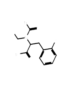 CCN(C(N)=S)C(Cc1ccccc1F)C(=O)O